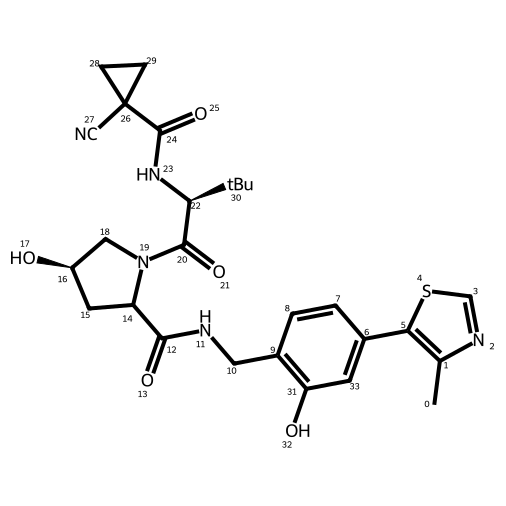 Cc1ncsc1-c1ccc(CNC(=O)C2C[C@@H](O)CN2C(=O)[C@@H](NC(=O)C2(C#N)CC2)C(C)(C)C)c(O)c1